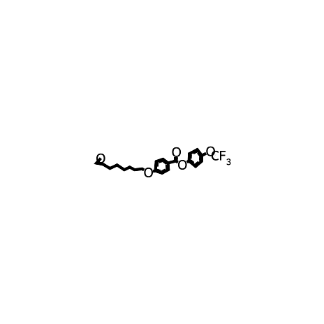 O=C(Oc1ccc(OC(F)(F)F)cc1)c1ccc(OCCCCCCC2CO2)cc1